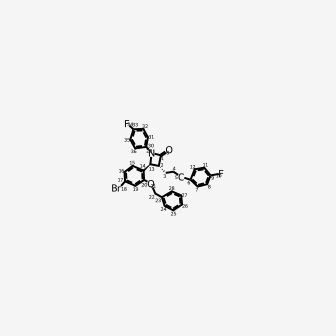 O=C1[C@H](CCCc2ccc(F)cc2)[C@@H](c2ccc(Br)cc2OCc2ccccc2)N1c1ccc(F)cc1